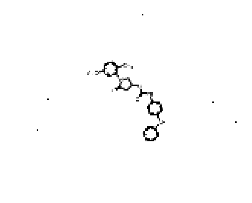 COc1ccc(C)c(N2CC(OC(=O)Nc3ccc(Nc4ccccc4)cc3)CC2=O)c1